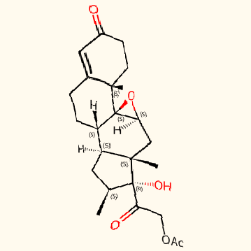 CC(=O)OCC(=O)[C@@]1(O)[C@@H](C)C[C@H]2[C@@H]3CCC4=CC(=O)CC[C@]4(C)[C@@]34O[C@H]4C[C@@]21C